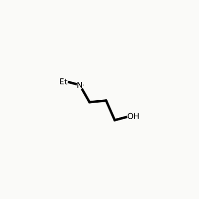 CC[N]CCCO